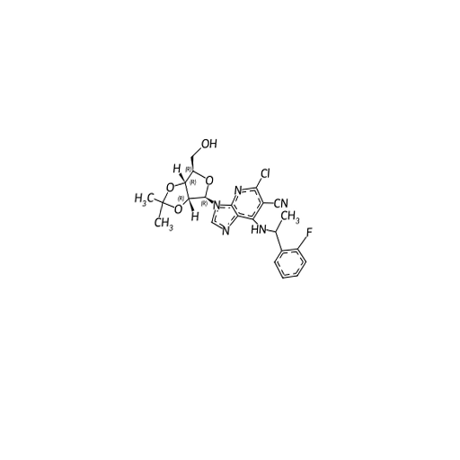 CC(Nc1c(C#N)c(Cl)nc2c1ncn2[C@@H]1O[C@H](CO)[C@H]2OC(C)(C)O[C@H]21)c1ccccc1F